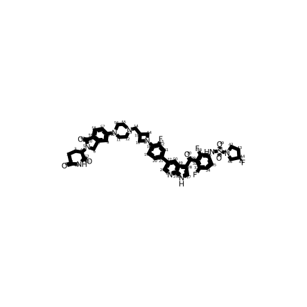 O=C1CCC(N2Cc3cc(N4CCN(CC5CN(c6ccc(-c7cnc8[nH]cc(C(=O)c9c(F)ccc(NS(=O)(=O)N%10CC[C@@H](F)C%10)c9F)c8c7)cc6F)C5)CC4)ccc3C2=O)C(=O)N1